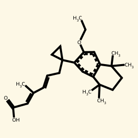 CCOc1cc2c(cc1C1(C/C=C/C(C)=C/C(=O)O)CC1)C(C)(C)CCC2(C)C